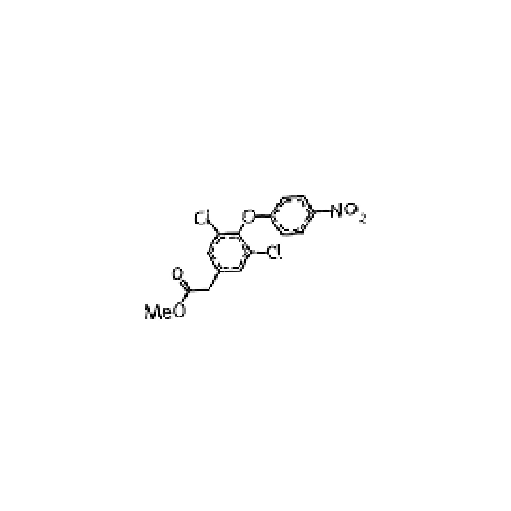 COC(=O)Cc1cc(Cl)c(Oc2ccc([N+](=O)[O-])cc2)c(Cl)c1